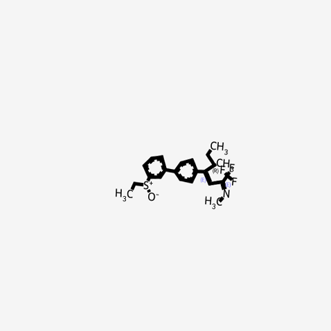 CC[C@@H](C)/C(=C\C(=N/C)C(F)(F)F)c1ccc(-c2cccc([S+]([O-])CC)c2)cc1